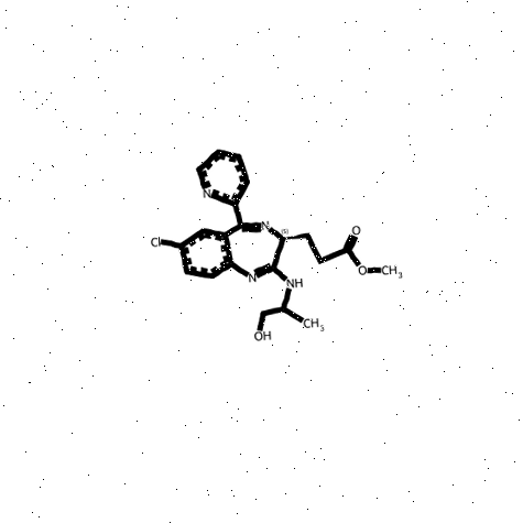 COC(=O)CC[C@@H]1N=C(c2ccccn2)c2cc(Cl)ccc2N=C1NC(C)CO